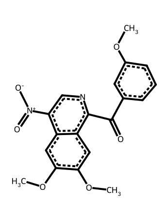 COc1cccc(C(=O)c2ncc([N+](=O)[O-])c3cc(OC)c(OC)cc23)c1